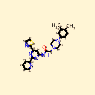 Cc1ccc(N2CCN(CC(=O)Nc3cc(-c4nccs4)nc(-c4ccccn4)n3)CC2)cc1C